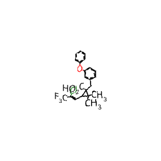 CC1(C)C(C=C(Cl)C(F)(F)F)C1(Cc1cccc(Oc2ccccc2)c1)C(=O)O